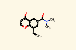 C=Cc1cc(C(=O)N(C)C)cc2c(=O)ccoc12